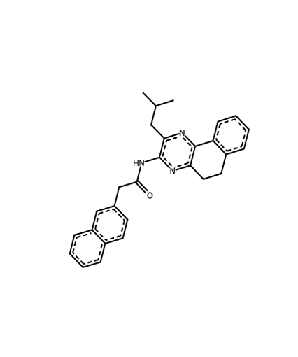 CC(C)Cc1nc2c(nc1NC(=O)Cc1ccc3ccccc3c1)CCc1ccccc1-2